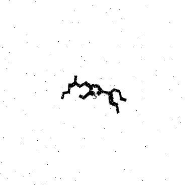 C/C=c1/sc(C(/C=C\CC)=C/CC)c/c1=C/C/C(C)=C\CCC